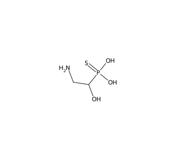 NCC(O)P(O)(O)=S